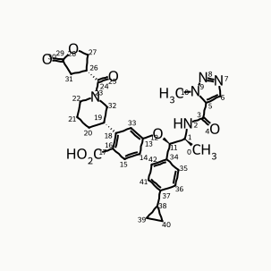 C[C@H](NC(=O)c1cnnn1C)[C@H](Oc1ccc(C(=O)O)c([C@@H]2CCCN(C(=O)[C@H]3COC(=O)C3)C2)c1)c1ccc(C2CC2)cc1